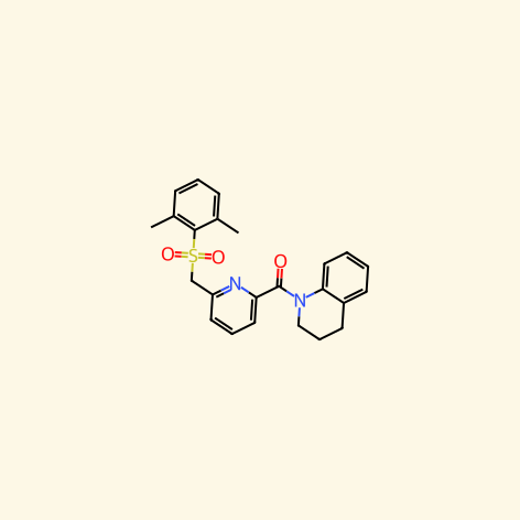 Cc1cccc(C)c1S(=O)(=O)Cc1cccc(C(=O)N2CCCc3ccccc32)n1